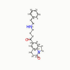 O=C(CCCNCCc1ccccc1)c1cc2c3c(c1)CCN3C(=O)CC2